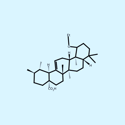 CCOC1CCC(C)(C)[C@@H]2CC[C@]3(C)[C@H](CC=C4[C@@H]5[C@@H](C)[C@H](C)CC[C@]5(C(=O)O)CC[C@]43C)[C@@]12C